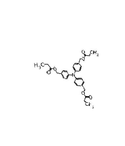 C=CC(=O)OCc1ccc(N(c2ccc(COC(=O)C=C)cc2)c2ccc(COC(=O)CC)cc2)cc1